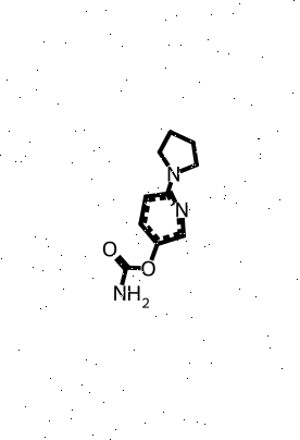 NC(=O)Oc1ccc(N2CCCC2)nc1